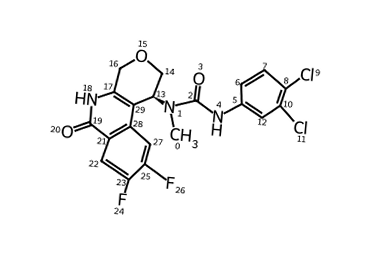 CN(C(=O)Nc1ccc(Cl)c(Cl)c1)[C@@H]1COCc2[nH]c(=O)c3cc(F)c(F)cc3c21